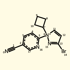 N#Cc1ccc([N+]2(C3CCC3)C=CC(Br)=N2)nc1